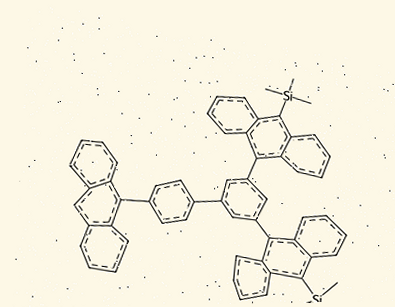 C[Si](C)(C)c1c2ccccc2c(-c2cc(-c3ccc(-c4c5ccccc5cc5ccccc45)cc3)cc(-c3c4ccccc4c([Si](C)(C)C)c4ccccc34)c2)c2ccccc12